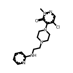 Cn1ncc(Cl)c(N2CCN(CCNc3ccccn3)CC2)c1=O